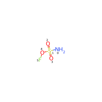 NS(=O)(=O)OF